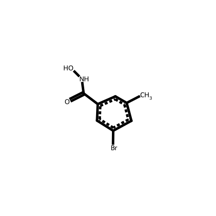 Cc1cc(Br)cc(C(=O)NO)c1